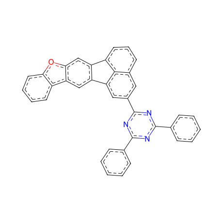 c1ccc(-c2nc(-c3ccccc3)nc(-c3cc4c5c(cccc5c3)-c3cc5oc6ccccc6c5cc3-4)n2)cc1